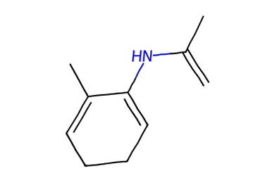 C=C(C)NC1=CCCC=C1C